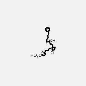 C[C@H](CCCCc1ccccc1)[C@H](O)C=CC1CCC(=O)N1CCCc1ccc(C(=O)O)s1